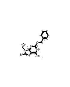 CCn1c(Br)nc2c(N)nc(OCc3ccccc3)nc21